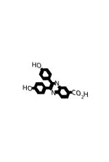 O=C(O)c1ccc2nc(-c3ccc(O)cc3)c(-c3ccc(O)cc3)nc2c1